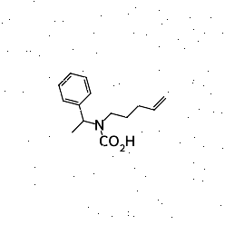 C=CCCCN(C(=O)O)C(C)c1ccccc1